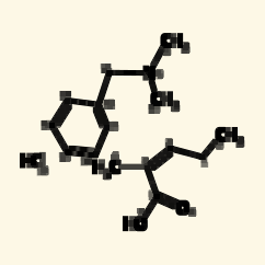 CCC=C(C)C(=O)O.CN(C)Cc1ccccc1.Cl